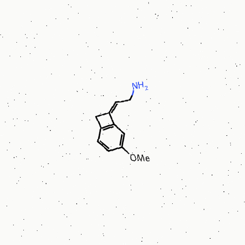 COc1ccc2c(c1)C(=CCN)C2